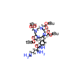 CC(C)(C)OC(=O)CN1CCN(CC(=O)OC(C)(C)C)CCN(CC(=O)OC(C)(C)C)C(Cc2ccc(NC(=O)[C@@H](N)CCCN)cc2)CN(CC(=O)OC(C)(C)C)CC1